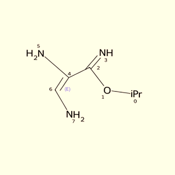 CC(C)OC(=N)/C(N)=C\N